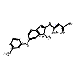 CN/C(=C\C(=N)C(C)(C)C)Nc1nc2ccc(Oc3ccnc(NC(C)=O)c3)cc2n1C